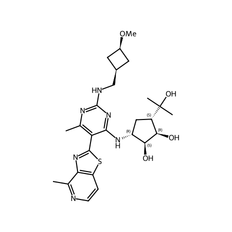 CO[C@H]1C[C@@H](CNc2nc(C)c(-c3nc4c(C)nccc4s3)c(N[C@@H]3C[C@H](C(C)(C)O)[C@@H](O)[C@H]3O)n2)C1